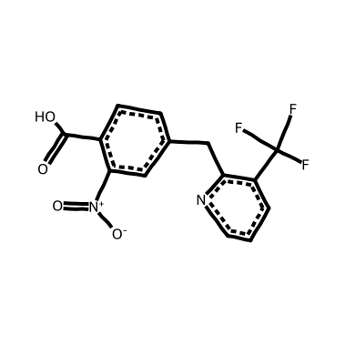 O=C(O)c1ccc(Cc2ncccc2C(F)(F)F)cc1[N+](=O)[O-]